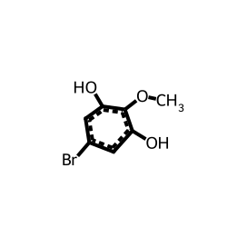 COc1c(O)cc(Br)cc1O